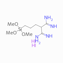 CO[Si](CCCC(C(=N)N)C(=N)N)(OC)OC.I.I